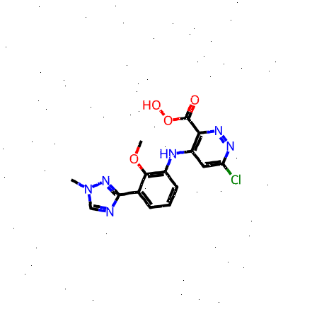 COc1c(Nc2cc(Cl)nnc2C(=O)OO)cccc1-c1ncn(C)n1